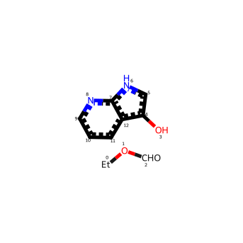 CCOC=O.Oc1c[nH]c2ncccc12